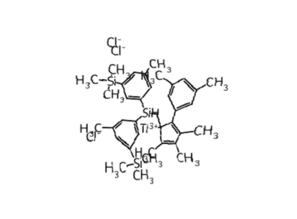 CC1=C(C)[C]([Ti+3])(C[SiH](c2cc(C)cc([Si](C)(C)C)c2)c2cc(C)cc([Si](C)(C)C)c2)C(c2cc(C)cc(C)c2)=C1C.[Cl-].[Cl-].[Cl-]